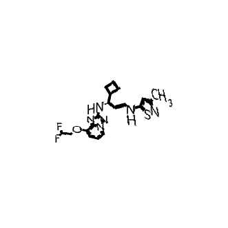 Cc1cc(N/C=C/[C@H](Nc2nc3c(OCC(F)F)cccn3n2)C2CCC2)sn1